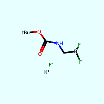 CC(C)(C)OC(=O)NCB(F)F.[F-].[K+]